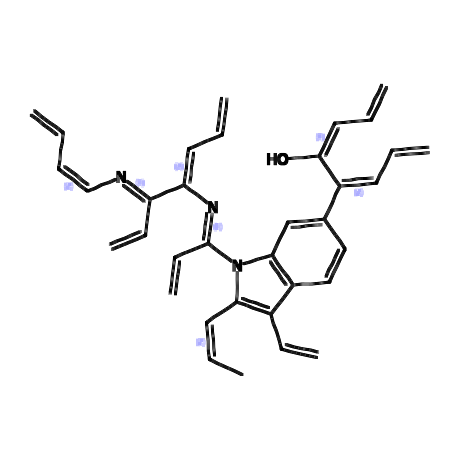 C=C\C=C/N=C(C=C)/C(=C/C=C)/N=C(\C=C)n1c(/C=C\C)c(C=C)c2ccc(C(=C/C=C)/C(O)=C\C=C)cc21